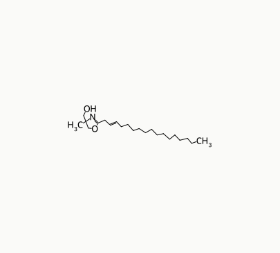 CCCCCCCCCCCCCCC=CCC1=NC(C)(CO)CO1